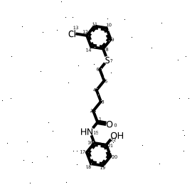 O=C(CCCCCSc1cccc(Cl)c1)Nc1ccccc1O